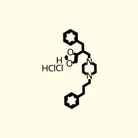 C1=C(C(Cc2ccccc2)CN2CCN(CCCc3ccccc3)CC2)OCO1.Cl.Cl